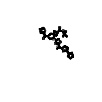 C[C@@H](c1nc([C@@H]2CN(C(=O)c3cncs3)CC23CN(C(=O)[C@H]2CC2(C)C)C3)no1)n1ccc(C2CCCC2)n1